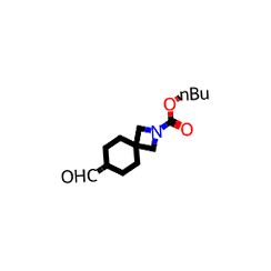 CCCCOC(=O)N1CC2(CCC(C=O)CC2)C1